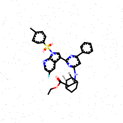 CCOC(=O)[C@@H]1C2CCC(CC2)[C@H]1Nc1cc(-c2ccccc2)nc(-c2cn(S(=O)(=O)c3ccc(C)cc3)c3ncc(F)cc23)n1